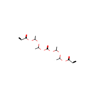 C=CC(=O)OC(C)OC(C)OC(=O)OC(C)OC(C)OC(=O)C=C